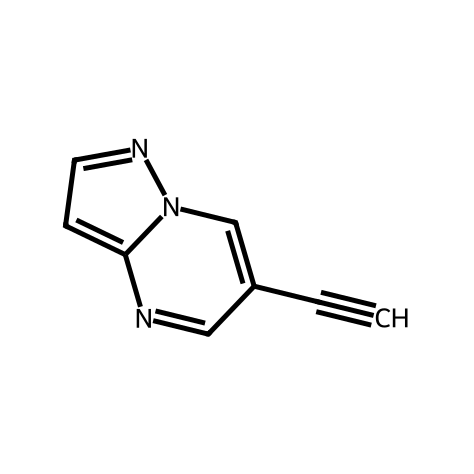 C#Cc1cnc2ccnn2c1